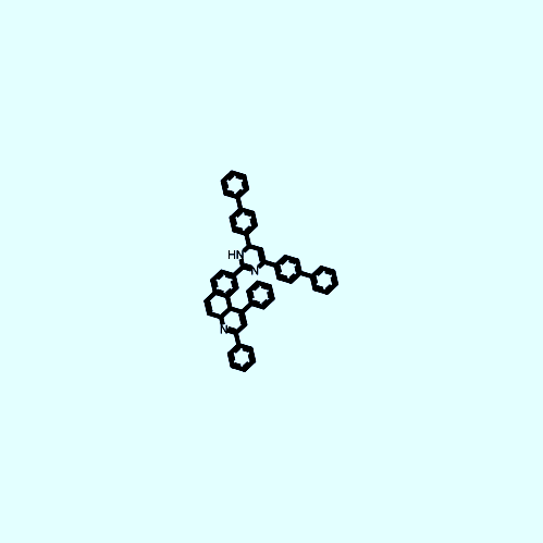 C1=CC2N=C(c3ccccc3)C=C(c3ccccc3)C2c2cc(C3=NC(c4ccc(-c5ccccc5)cc4)=CC(c4ccc(-c5ccccc5)cc4)N3)ccc21